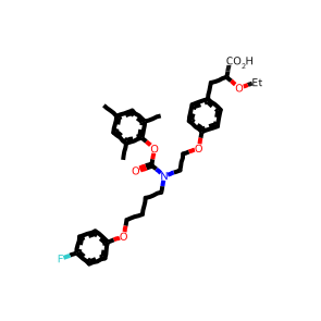 CCOC(Cc1ccc(OCCN(CCCCOc2ccc(F)cc2)C(=O)Oc2c(C)cc(C)cc2C)cc1)C(=O)O